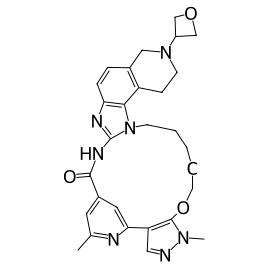 Cc1cc2cc(n1)-c1cnn(C)c1OCCCCCn1c(nc3ccc4c(c31)CCN(C1COC1)C4)NC2=O